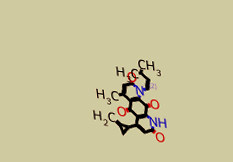 C=C1CC1c1cc(=O)[nH]c2c1C(=O)c1c(C)cc(=O)n(/C=C\C(C)C)c1C2=O